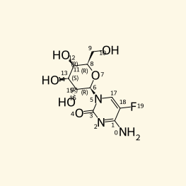 Nc1nc(=O)n([C@@H]2O[C@H](CO)[C@H](O)[C@H](O)[C@H]2O)cc1F